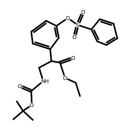 CCOC(=O)C(CNC(=O)OC(C)(C)C)c1cccc(OS(=O)(=O)c2ccccc2)c1